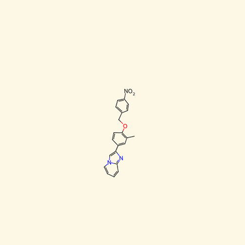 Cc1cc(-c2cn3ccccc3n2)ccc1OCc1ccc([N+](=O)[O-])cc1